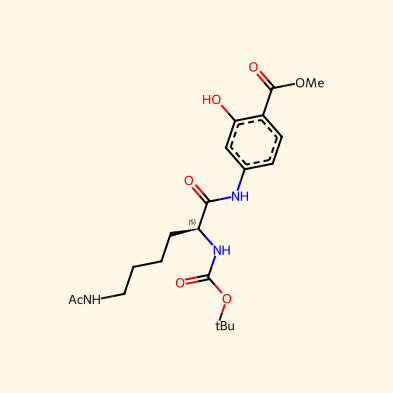 COC(=O)c1ccc(NC(=O)[C@H](CCCCNC(C)=O)NC(=O)OC(C)(C)C)cc1O